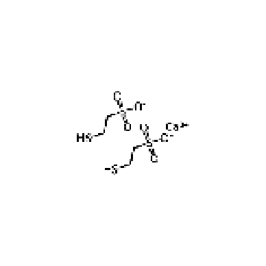 O=S(=O)([O-])CCS.O=S(=O)([O-])CCS.[Ca+2]